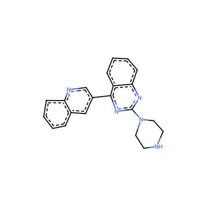 c1ccc2ncc(-c3nc(N4CCNCC4)nc4ccccc34)cc2c1